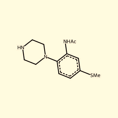 CSc1ccc(N2CCNCC2)c(NC(C)=O)c1